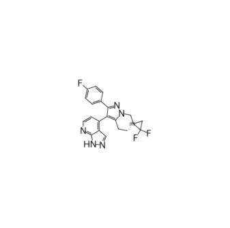 Fc1ccc(-c2nn3c(c2-c2ccnc4[nH]ncc24)CC[C@]2(C3)CC2(F)F)cc1